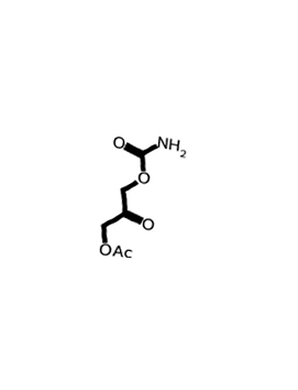 CC(=O)OCC(=O)COC(N)=O